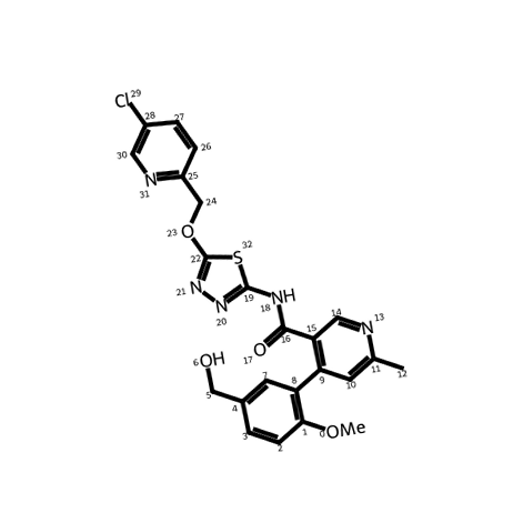 COc1ccc(CO)cc1-c1cc(C)ncc1C(=O)Nc1nnc(OCc2ccc(Cl)cn2)s1